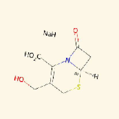 O=C(O)C1=C(CO)CS[C@@H]2CC(=O)N12.[NaH]